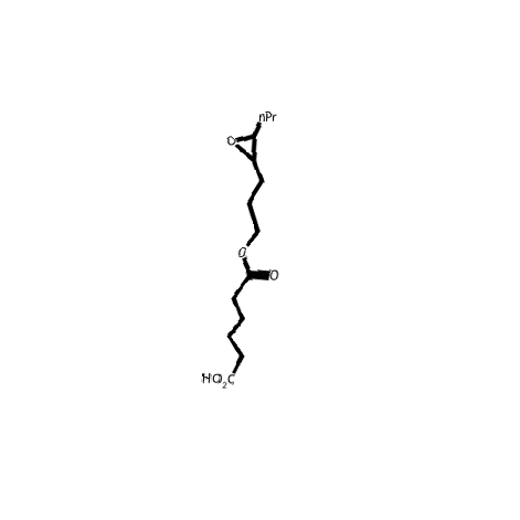 CCCC1OC1CCCOC(=O)CCCCC(=O)O